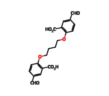 O=Cc1ccc(OCCCCOc2ccc(C=O)cc2C(=O)O)c(C(=O)O)c1